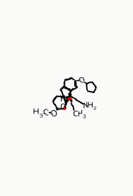 COC1CCC2(CC1)Cc1ccc(OC3CCCC3)cc1C21NC(N)N(C)C1=O